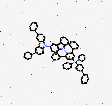 c1ccc(-c2ccc([Si](c3ccccc3)(c3ccccc3)c3cc(-c4ccccc4)c(-n4c5ccccc5c5cc(-n6c7ccc(-c8ccccc8)cc7c7cc(-c8ccccc8)ccc76)ccc54)c(-c4ccccc4)c3)cc2)cc1